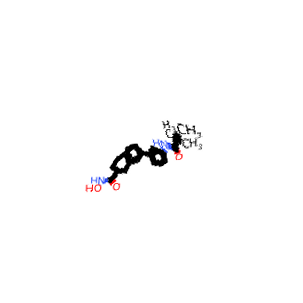 CC(C)(C)C(=O)Nc1cccc(-c2ccc3c(c2)CC(C(=O)NO)CC3)c1